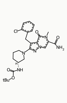 Cn1c(C(N)=O)cn2nc(N3CCC[C@@H](NC(=O)OC(C)(C)C)C3)c(Cc3ccccc3Cl)c2c1=O